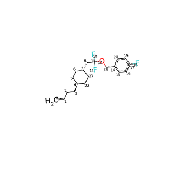 C=CCC[C@H]1CC[C@H](CC(F)(F)OCc2ccc(F)cc2)CC1